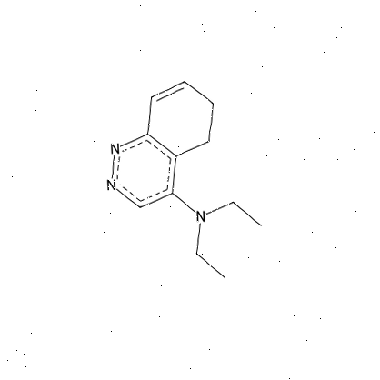 CCN(CC)c1cnnc2c1CCC=C2